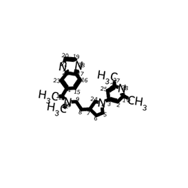 Cc1cc(N2CCC(CCN(C)C(C)c3ccc4nccnc4c3)C2)cc(C)n1